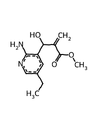 C=C(C(=O)OC)C(O)c1cc(CC)cnc1N